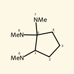 CNC1CC[CH]C1(NC)NC